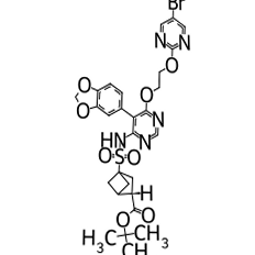 CC(C)(C)OC(=O)[C@H]1CC2(S(=O)(=O)Nc3ncnc(OCCOc4ncc(Br)cn4)c3-c3ccc4c(c3)OCO4)CC1C2